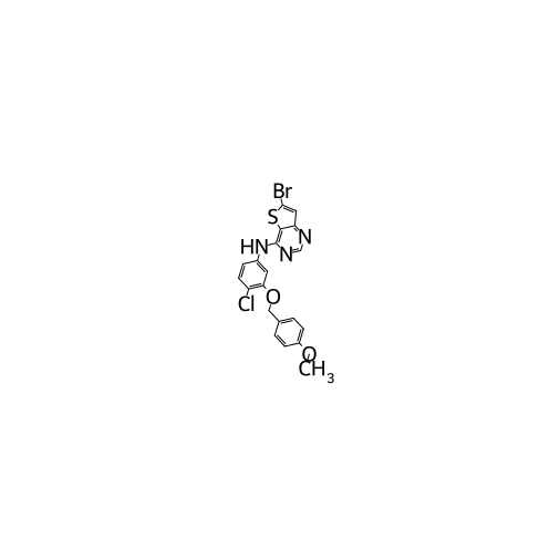 COc1ccc(COc2cc(Nc3ncnc4cc(Br)sc34)ccc2Cl)cc1